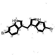 Brc1ccc2c(Cc3c[nH]c4cc(Br)ccc34)c[nH]c2c1